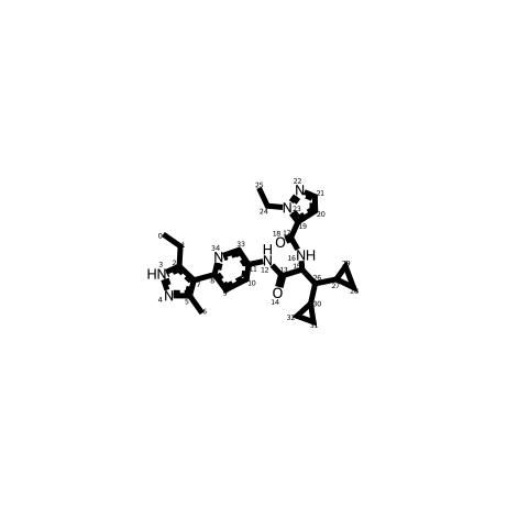 CCc1[nH]nc(C)c1-c1ccc(NC(=O)C(NC(=O)c2ccnn2CC)C(C2CC2)C2CC2)cn1